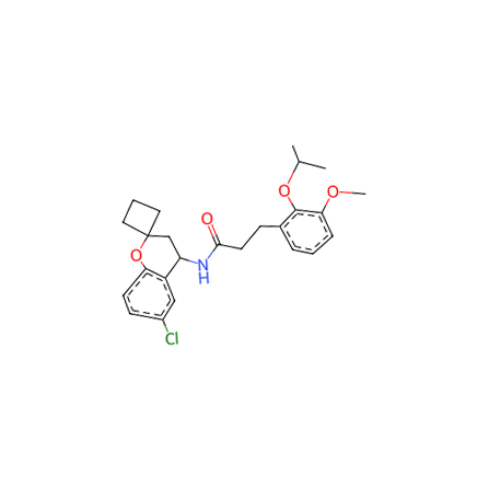 COc1cccc(CCC(=O)NC2CC3(CCC3)Oc3ccc(Cl)cc32)c1OC(C)C